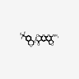 CN(C(=O)c1cc2c3c(c(N)nc2nc1Cl)COC3)[C@@H]1COCc2cc(C(F)(F)F)ccc21